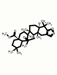 COC(=O)[C@]12CCC(C)(C)CC1C[C@](C)([C@]1(C)CC[C@H]3C(C)(C)c4oncc4C[C@]3(C)[C@H]1CC(C)=O)CC2